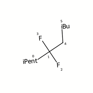 CCCC(C)C(F)(F)CC(C)CC